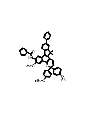 CCCCOc1ccc(C2(c3ccc(OCCCC)cc3)C=Cc3c4c(c5cc(NC(=O)c6ccccc6)c(OC)cc5c3O2)-c2ccc(-c3ccccc3)cc2C4(C)C)cc1